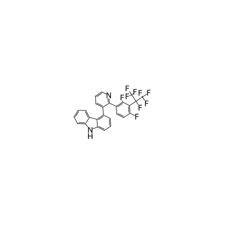 Fc1ccc(-c2ncccc2-c2cccc3[nH]c4ccccc4c23)c(F)c1C(F)(C(F)(F)F)C(F)(F)F